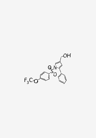 O=S(=O)(c1ccc(OC(F)(F)F)cc1)n1cc(CO)cc1-c1ccccc1